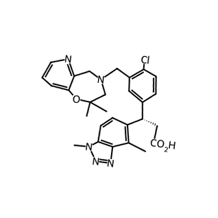 Cc1c([C@@H](CC(=O)O)c2ccc(Cl)c(CN3Cc4ncccc4OC(C)(C)C3)c2)ccc2c1nnn2C